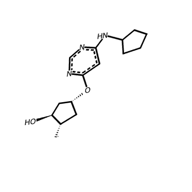 [CH2][C@H]1C[C@@H](Oc2cc(NC3CCCC3)ncn2)C[C@@H]1O